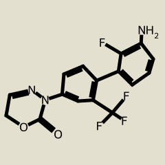 Nc1cccc(-c2ccc(N3N=CCOC3=O)cc2C(F)(F)F)c1F